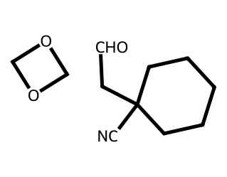 C1OCO1.N#CC1(CC=O)CCCCC1